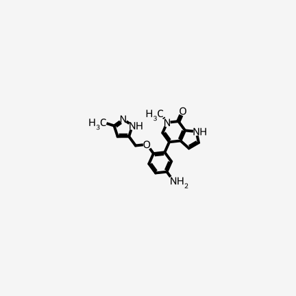 Cc1cc(COc2ccc(N)cc2-c2cn(C)c(=O)c3[nH]ccc23)[nH]n1